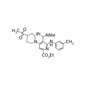 CCOC(=O)c1cc(N2CCC(S(C)(=O)=O)CC2)c(C(NC)C(C)C)c(Nc2cccc(C)c2)n1